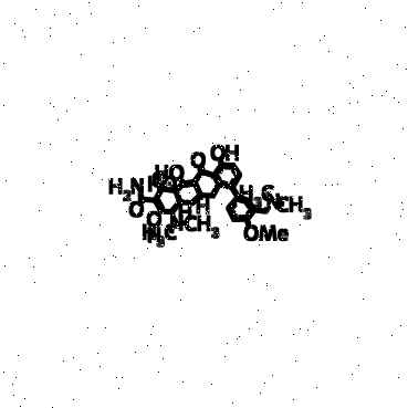 COc1ccc(-c2ccc(O)c3c2C[C@H]2C[C@H]4[C@@H](N(C)C)C(O)=C(C(N)=O)C(=O)[C@@]4(O)C(O)=C2C3=O)cc1CN(C)C